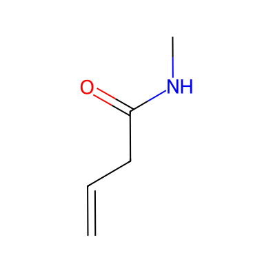 C=CCC(=O)NC